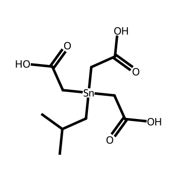 CC(C)[CH2][Sn]([CH2]C(=O)O)([CH2]C(=O)O)[CH2]C(=O)O